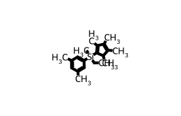 CC[Si](C)(C1=C(C)C(C)=C(C)C1C)c1cc(C)cc(C)c1